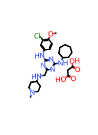 COc1ccc(Nc2nc(CNC3CCN(C)CC3)nc(NC3CCCCCC3)n2)cc1Cl.O=C(O)CC(=O)O